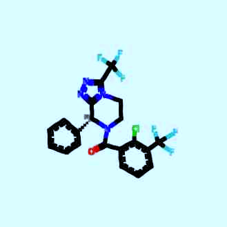 O=C(c1cccc(C(F)(F)F)c1Cl)N1CCn2c(nnc2C(F)(F)F)[C@H]1c1ccccc1